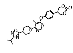 Cc1c(Oc2ccc(C3COS(=O)OC3)cc2)ncnc1N1CCC(c2nc(C(C)C)no2)CC1